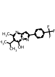 Cc1nc2cc(-c3ccc(C(F)(F)F)cc3)nn2c(O)c1C(C)C